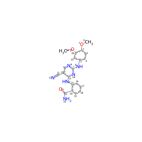 COc1ccc(Nc2ncc(C#N)c(Nc3ccccc3C(N)=O)n2)cc1OC